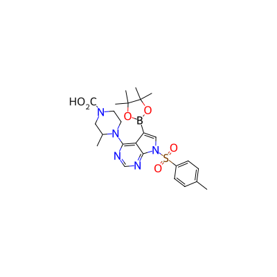 Cc1ccc(S(=O)(=O)n2cc(B3OC(C)(C)C(C)(C)O3)c3c(N4CCN(C(=O)O)CC4C)ncnc32)cc1